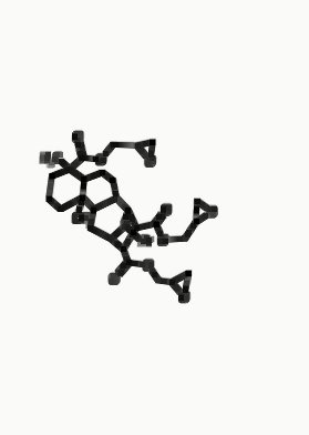 CC(C)C1=C2C3CCC4C(C)(C(=O)OCC5CO5)CCCC4(C)C3CC1C(C(=O)OCC1CO1)C2C(=O)OCC1CO1